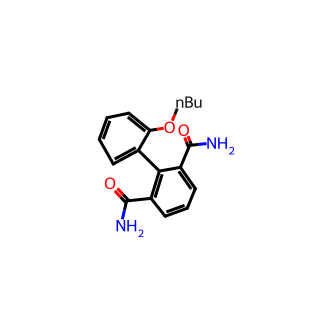 CCCCOc1ccccc1-c1c(C(N)=O)cccc1C(N)=O